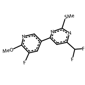 COc1ncc(-c2cc(C(F)F)nc(SC)n2)cc1F